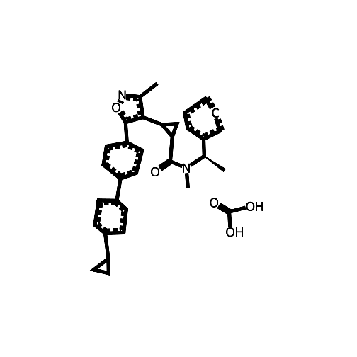 Cc1noc(-c2ccc(-c3ccc(C4CC4)cc3)cc2)c1C1CC1C(=O)N(C)[C@H](C)c1ccccc1.O=C(O)O